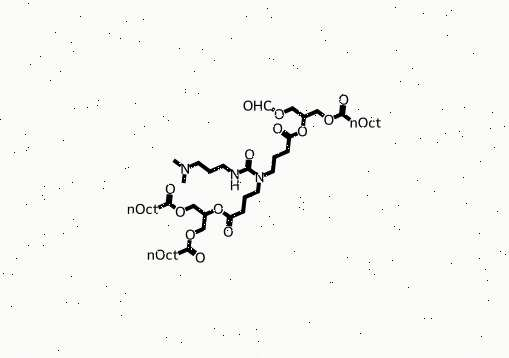 CCCCCCCCC(=O)OCC(COC=O)OC(=O)CCCN(CCCC(=O)OC(COC(=O)CCCCCCCC)COC(=O)CCCCCCCC)C(=O)NCCCN(C)C